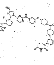 CCCS(=O)(=O)Nc1cccc(-c2nc(C(C)(C)C)sc2-c2ccnc(Nc3cccc(OC4CCN(C(=O)C5CCN(c6cc([C@@H]7CCC(=O)NC7=O)ccn6)CC5)CC4)c3)n2)c1F